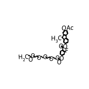 C=CC(=O)OCCOCCOCCOCCOC(=O)Oc1ccc(C(=O)Oc2ccc3c(c2)C(C)c2cc(OC(C)=O)ccc2-3)c(F)c1